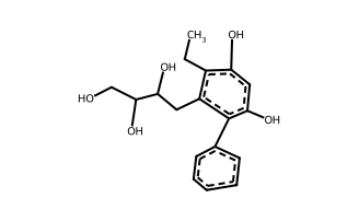 CCc1c(O)cc(O)c(-c2ccccc2)c1CC(O)C(O)CO